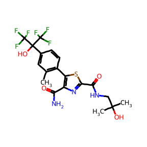 Cc1cc(C(O)(C(F)(F)F)C(F)(F)F)ccc1-c1sc(C(=O)NCC(C)(C)O)nc1C(N)=O